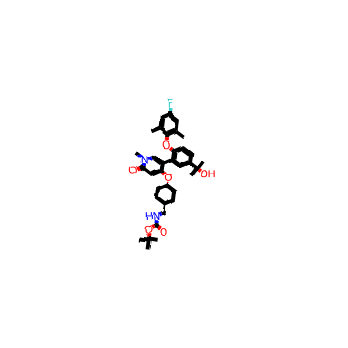 Cc1cc(F)cc(C)c1Oc1ccc(C(C)(C)O)cc1-c1cn(C)c(=O)cc1O[C@H]1CC[C@H](CNC(=O)OC(C)(C)C)CC1